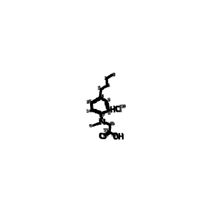 CCCCc1ccc(N(C)CC(=O)O)cc1.Cl